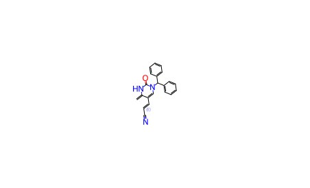 C=C1NC(=O)N(C(c2ccccc2)c2ccccc2)C=C1/C=C/C#N